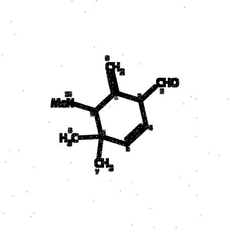 C=C1C(C=O)C=CC(C)(C)C1NC